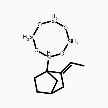 CC=C1CC2CCC1([SiH]1O[SiH2]O[SiH2]O[SiH2]O1)C2